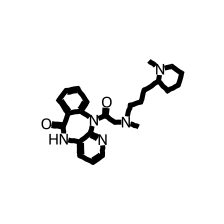 CN(CCCC1CCCCN1C)CC(=O)N1c2ccccc2C(=O)Nc2cccnc21